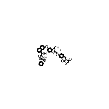 Cn1c(COc2ccc(CN3C(=O)CSC3=O)cc2)nc2ccc(Oc3ccc4cccc(NC(=O)NS(=O)(=O)c5ccccc5)c4c3)cc21